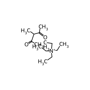 CC(=O)C(C)C(C)=O.CC[N+](CC)(CC)CC